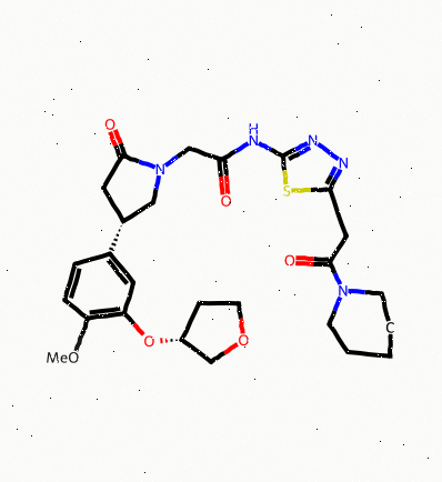 COc1ccc([C@@H]2CC(=O)N(CC(=O)Nc3nnc(CC(=O)N4CCCCC4)s3)C2)cc1O[C@@H]1CCOC1